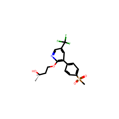 C[C@H](O)CCOc1ncc(C(F)(F)F)cc1-c1ccc(S(C)(=O)=O)cc1